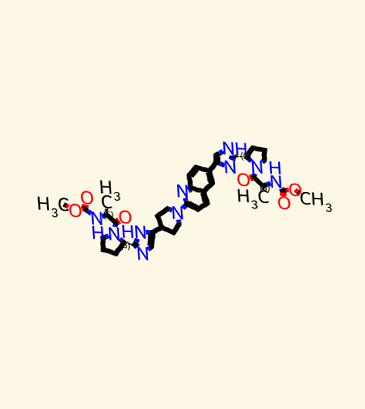 COC(=O)N[C@@H](C)C(=O)N1CCC[C@H]1c1nc(-c2ccc3nc(N4CCC(c5cnc([C@@H]6CCCN6C(=O)[C@H](C)NC(=O)OC)[nH]5)CC4)ccc3c2)c[nH]1